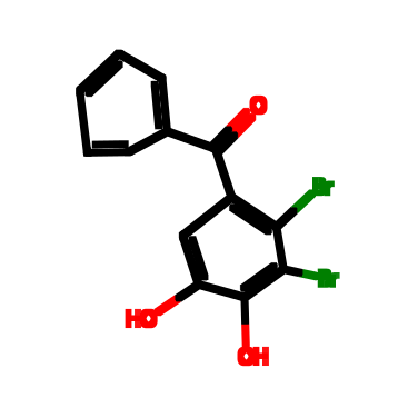 O=C(c1ccccc1)c1cc(O)c(O)c(Br)c1Br